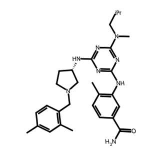 Cc1ccc(CN2CC[C@H](Nc3nc(Nc4cc(C(N)=O)ccc4C)nc(N(C)CC(C)C)n3)C2)c(C)c1